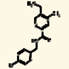 Cc1cc(C(=O)NCc2ccc(Cl)cc2)ccc1CN